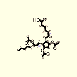 CCCCC[C@@H](/C=C/[C@H]1C(OC(C)=O)C[C@H](OC(C)=O)[C@@H]1C/C=C\CCCC(=O)O)OC(C)=O